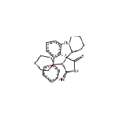 N#Cc1cccc(-c2ccccc2)c1[C@]1(C2CCCCC2)C(=O)NC(=N)N1C1CCOCC1